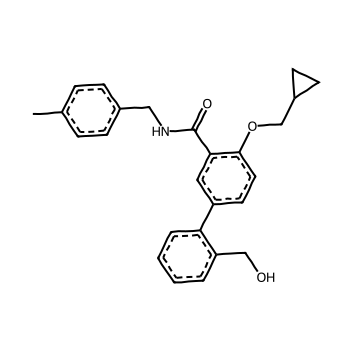 Cc1ccc(CNC(=O)c2cc(-c3ccccc3CO)ccc2OCC2CC2)cc1